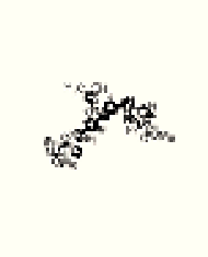 COC(=O)N[C@H](C(=O)N1CCC[C@H]1c1ncc(-c2cc(F)c3c(c2)OC(c2cc(C)c(C)s2)n2c-3cc3cc(-c4cnc([C@@H]5C[C@H]6C[C@H]6N5C(=O)[C@@H](NC(=O)OC)C(C)C)[nH]4)ccc32)[nH]1)C(C)C